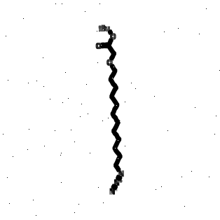 CC(C)(C)OC(=O)COCCCCCCCCCCCCN=[N+]=[N-]